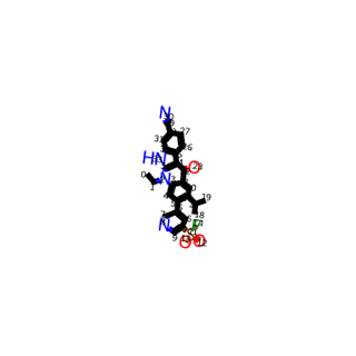 CCn1c2cc(-c3cncc(S(=O)(=O)F)c3)c(C(C)C)cc2c(=O)c2c3ccc(C#N)cc3[nH]c21